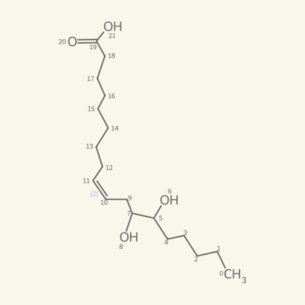 CCCCCC(O)C(O)C/C=C\CCCCCCCC(=O)O